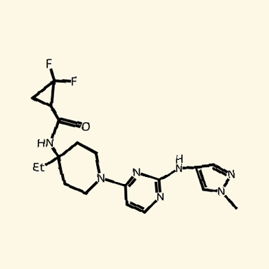 CCC1(NC(=O)C2CC2(F)F)CCN(c2ccnc(Nc3cnn(C)c3)n2)CC1